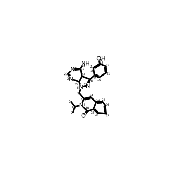 CC(C)n1c(CN2N=C(c3cccc(O)c3)C3C(N)=NC=NC32)cc2ccccc2c1=O